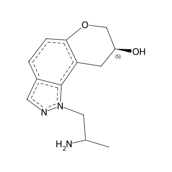 CC(N)Cn1ncc2ccc3c(c21)C[C@H](O)CO3